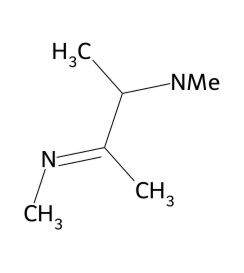 C/N=C(\C)C(C)NC